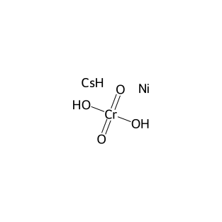 [CsH].[Ni].[O]=[Cr](=[O])([OH])[OH]